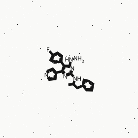 CC(Cc1ccccc1)Nc1nc(NN)c(-c2ccc(F)cc2)c(-c2ccncc2)n1